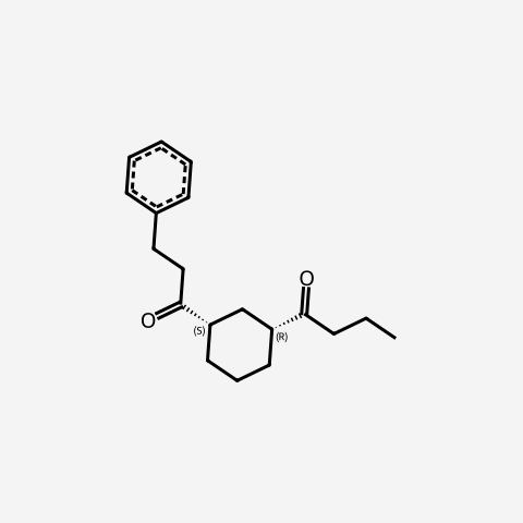 CCCC(=O)[C@@H]1CCC[C@H](C(=O)CCc2ccccc2)C1